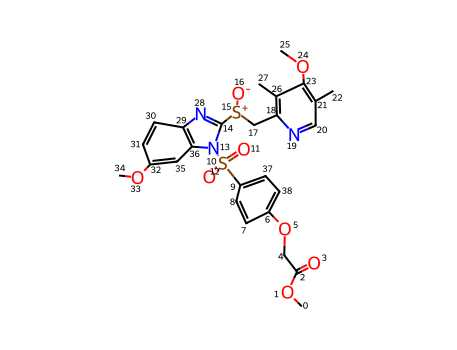 COC(=O)COc1ccc(S(=O)(=O)n2c([S+]([O-])Cc3ncc(C)c(OC)c3C)nc3ccc(OC)cc32)cc1